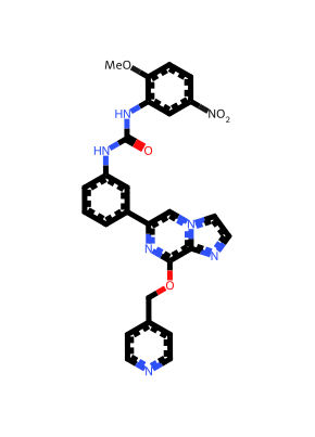 COc1ccc([N+](=O)[O-])cc1NC(=O)Nc1cccc(-c2cn3ccnc3c(OCc3ccncc3)n2)c1